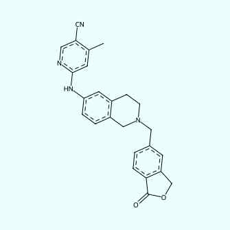 Cc1cc(Nc2ccc3c(c2)CCN(Cc2ccc4c(c2)COC4=O)C3)ncc1C#N